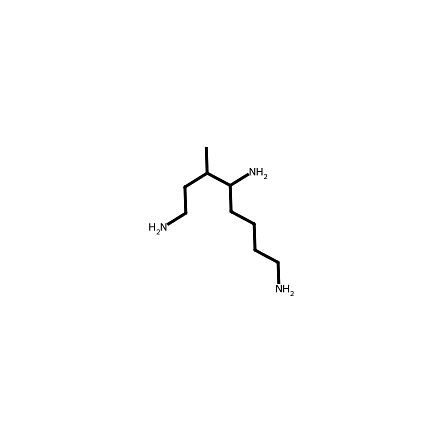 CC(CCN)C(N)CCCCN